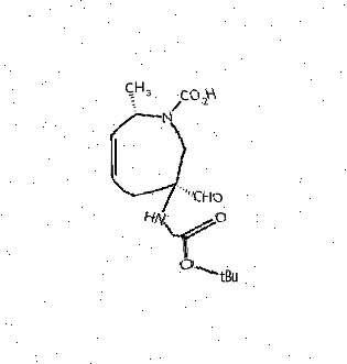 C[C@H]1C=CC[C@](C=O)(NC(=O)OC(C)(C)C)CN1C(=O)O